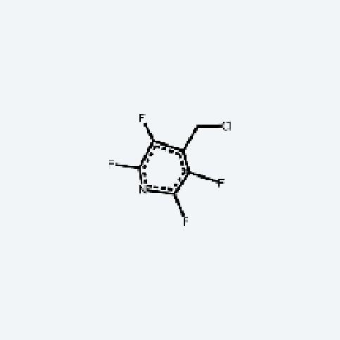 Fc1nc(F)c(F)c(CCl)c1F